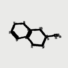 CN1CCC2=C(CCC=C2)C1